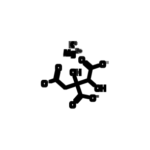 O=C([O-])CC(O)(C(=O)[O-])C(O)C(=O)[O-].[K+].[Mg+2]